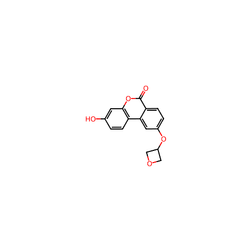 O=c1oc2cc(O)ccc2c2cc(OC3COC3)ccc12